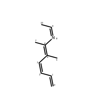 C=C\C=C/C(C)=C(C)/N=C\C